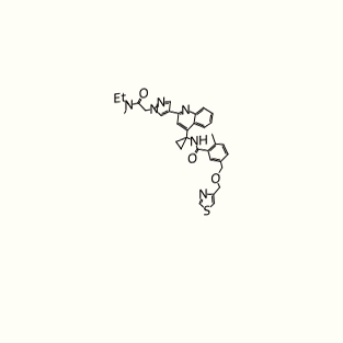 CCN(C)C(=O)Cn1cc(-c2cc(C3(NC(=O)c4cc(COCc5cscn5)ccc4C)CC3)c3ccccc3n2)cn1